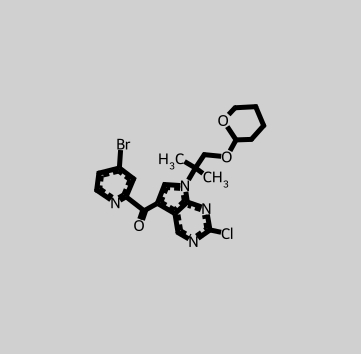 CC(C)(COC1CCCCO1)n1cc(C(=O)c2cc(Br)ccn2)c2cnc(Cl)nc21